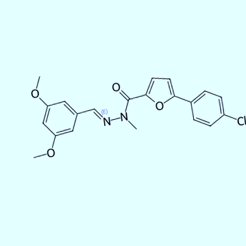 COc1cc(/C=N/N(C)C(=O)c2ccc(-c3ccc(Cl)cc3)o2)cc(OC)c1